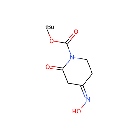 CC(C)(C)OC(=O)N1CCC(=NO)CC1=O